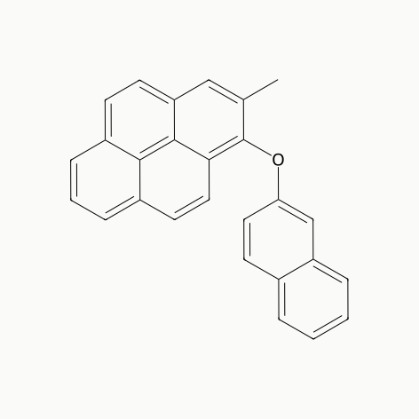 Cc1cc2ccc3cccc4ccc(c1Oc1ccc5ccccc5c1)c2c34